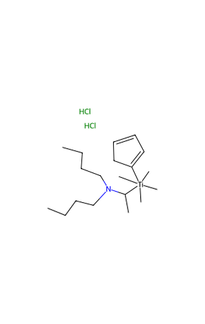 CCCCN(CCCC)[CH](C)[Ti]([CH3])([CH3])([CH3])([CH3])[C]1=CC=CC1.Cl.Cl